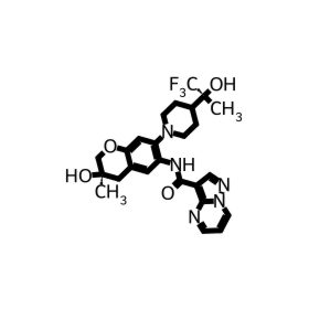 C[C@]1(O)COc2cc(N3CCC([C@](C)(O)C(F)(F)F)CC3)c(NC(=O)c3cnn4cccnc34)cc2C1